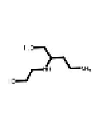 CCCC(CC)NCCO